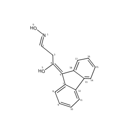 ON=CCC(O)=C1c2ccccc2-c2ccccc21